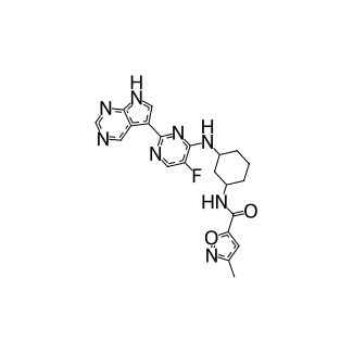 Cc1cc(C(=O)NC2CCCC(Nc3nc(-c4c[nH]c5ncncc45)ncc3F)C2)on1